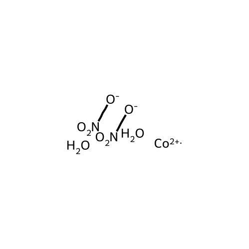 O.O.O=[N+]([O-])[O-].O=[N+]([O-])[O-].[Co+2]